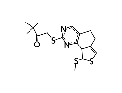 CSC1SC=C2CCc3cnc(SCC(=O)C(C)(C)C)nc3C21